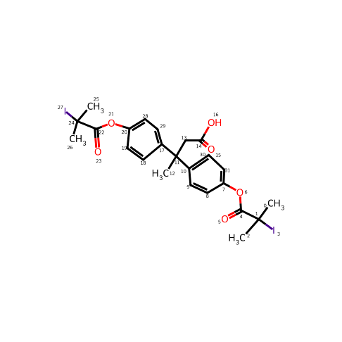 CC(C)(I)C(=O)Oc1ccc(C(C)(CC(=O)O)c2ccc(OC(=O)C(C)(C)I)cc2)cc1